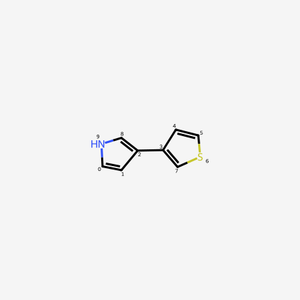 c1cc(-c2ccsc2)c[nH]1